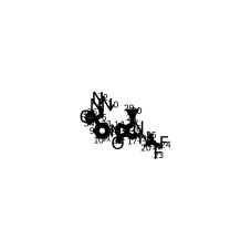 Cn1cnnc1CC1(c2cccc(N3Cc4c(cc(N5CC(C(F)F)C5)nc4C4CC4)C3=O)c2)COC1